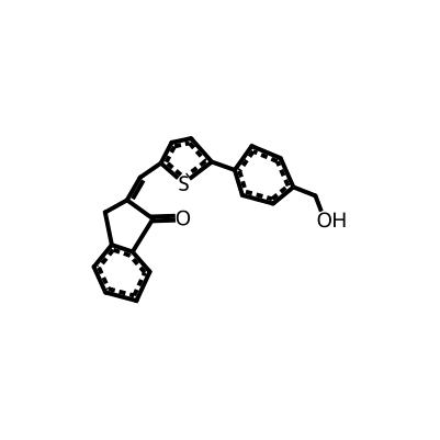 O=C1C(=Cc2ccc(-c3ccc(CO)cc3)s2)Cc2ccccc21